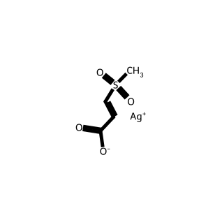 CS(=O)(=O)C=CC(=O)[O-].[Ag+]